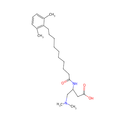 Cc1cccc(C)c1CCCCCCCCCC(=O)NC(CC(=O)O)CN(C)C